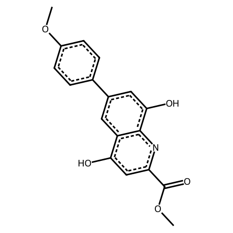 COC(=O)c1cc(O)c2cc(-c3ccc(OC)cc3)cc(O)c2n1